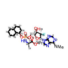 CNc1ncnc2c1ncn2[C@@H]1O[C@H](CO[P@@](=O)(N[C@H](C)C(=O)OC(C)C)Oc2cccc3ccccc23)[C@@H](O)[C@@]1(C)F